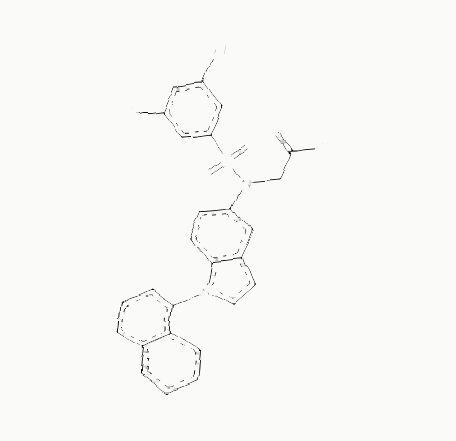 O=C(O)CN(c1ccc2c(ccn2-c2cccc3ccccc23)c1)S(=O)(=O)c1cc(Cl)cc(Cl)c1